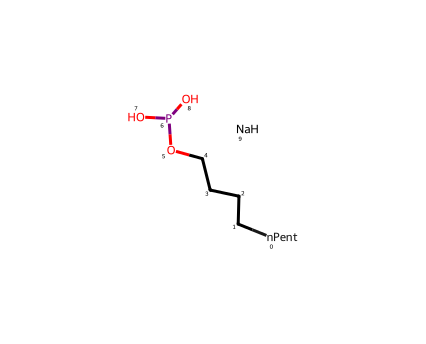 CCCCCCCCCOP(O)O.[NaH]